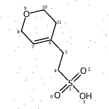 O=S(=O)(O)CCC1=CCOCC1